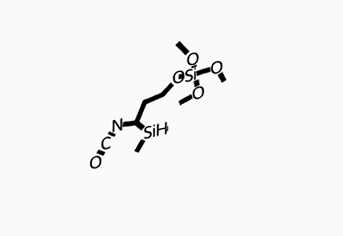 CO[Si](OC)(OC)OCCC(N=C=O)[SiH](C)C